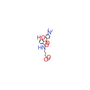 CCN(CC)c1ccc(C(=O)c2ccccc2C(=O)NCCCCC2OCCO2)c(O)c1